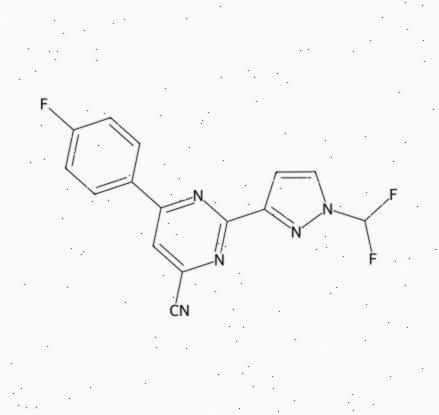 N#Cc1cc(-c2ccc(F)cc2)nc(-c2ccn(C(F)F)n2)n1